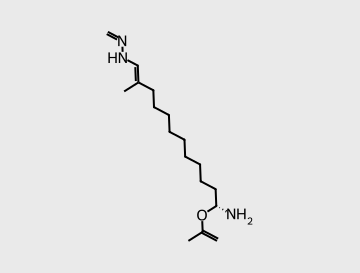 C=NN/C=C(\C)CCCCCCCCC[C@H](N)OC(=C)C